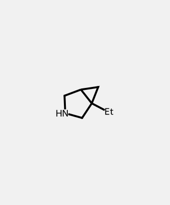 CCC12CNCC1C2